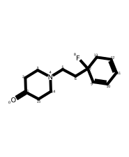 O=C1CCN(CCC2(F)C=CC=CC2)CC1